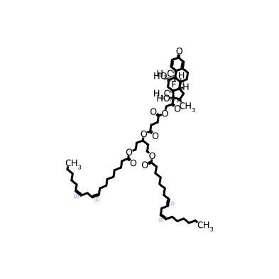 CCCCC/C=C\C/C=C\CCCCCCCC(=O)OCCC(CCOC(=O)CCCCCC/C=C\C/C=C\CCCCCC)OC(=O)CCC(=O)OCC(=O)[C@@]1(O)[C@H](C)C[C@H]2[C@@H]3CCC4=CC(=O)C=C[C@]4(C)[C@@]3(F)[C@@H](O)C[C@@]21C